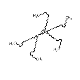 CCCC/C=C\C/C=C\CCCCCCCCN(CCCCCCCC/C=C\C/C=C\CCCCC)CCN1CCN(CCCCCCCC/C=C\C/C=C\CCCC)C(N(CCCCCCCC/C=C\C/C=C\CCCCC)CCCCCCCC/C=C\C/C=C\CCCCC)C1